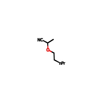 CCCCCOC(C)C#N